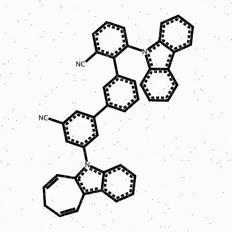 N#Cc1cc(-c2cccc(-c3c(C#N)cccc3-n3c4ccccc4c4ccccc43)c2)cc(-n2c3c(c4ccccc42)C=CCC=C3)c1